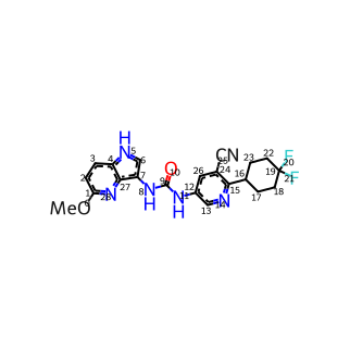 COc1ccc2[nH]cc(NC(=O)Nc3cnc(C4CCC(F)(F)CC4)c(C#N)c3)c2n1